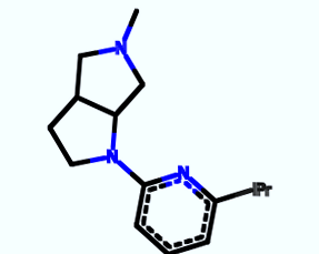 CC(C)c1cccc(N2CCC3CN(C)CC32)n1